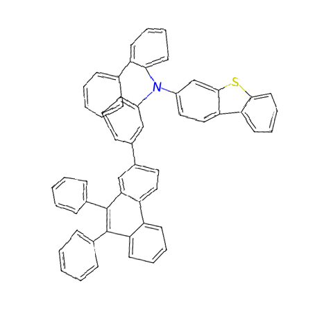 c1ccc(-c2ccccc2N(c2cccc(-c3ccc4c(c3)c(-c3ccccc3)c(-c3ccccc3)c3ccccc34)c2)c2ccc3c(c2)sc2ccccc23)cc1